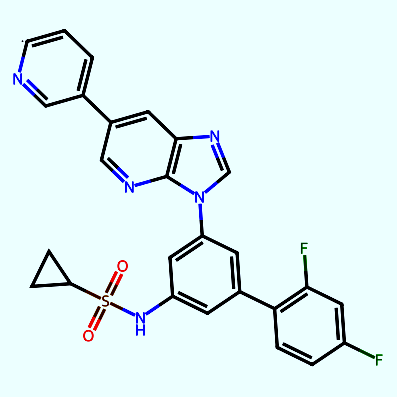 O=S(=O)(Nc1cc(-c2ccc(F)cc2F)cc(-n2cnc3cc(-c4cc[c]nc4)cnc32)c1)C1CC1